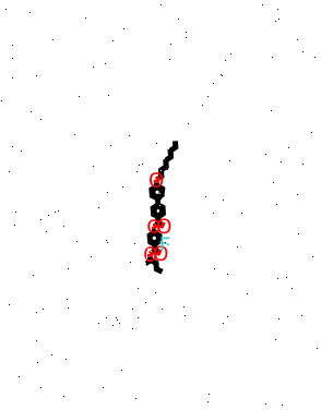 CCCCCCCCOc1ccc(-c2ccc(C(=O)Oc3ccc(C(=O)OC(C)CCC)c(F)c3)cc2)cc1